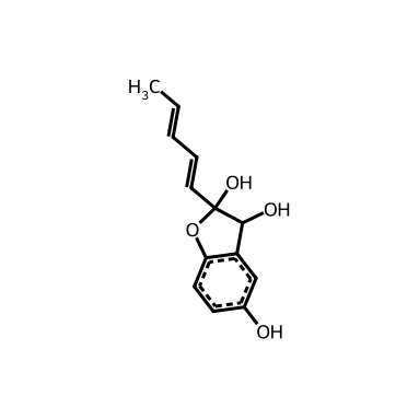 C/C=C/C=C/C1(O)Oc2ccc(O)cc2C1O